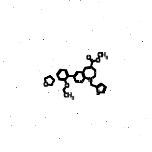 C1CCOC1.CCOc1ccccc1-c1ccc2c(c1)C=C(C(=O)OC)CCN2Cc1cccs1